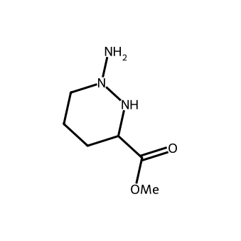 COC(=O)C1CCCN(N)N1